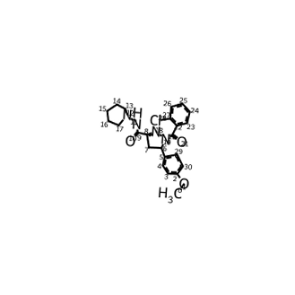 COc1ccc(C2CC(C(=O)NN3CCCCC3)=NN2C(=O)c2ccccc2Cl)cc1